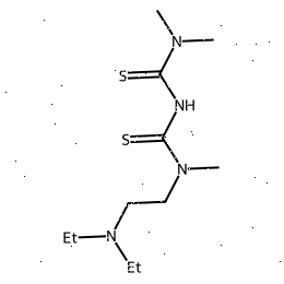 CCN(CC)CCN(C)C(=S)NC(=S)N(C)C